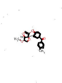 CO[C@H]1CO[C@H]2[C@@H]1OC[C@@H]2Oc1ccc(C(=O)c2ccc(C)cc2)cc1